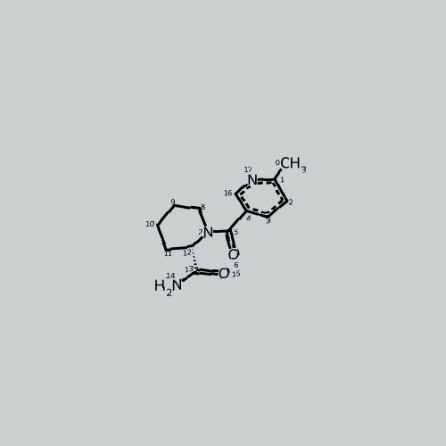 Cc1ccc(C(=O)N2CCCC[C@H]2C(N)=O)cn1